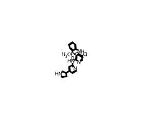 CP(C)(=O)c1ccccc1Nc1cc(Nc2cc(C3CCNC3)ccn2)ncc1Cl